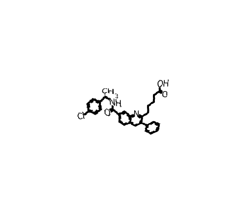 C[C@H](NC(=O)c1ccc2cc(-c3ccccc3)c(CCCCC(=O)O)nc2c1)c1ccc(Cl)cc1